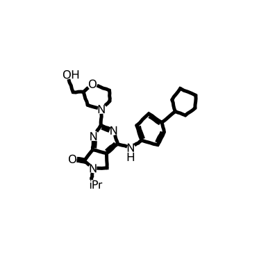 CC(C)N1Cc2c(Nc3ccc(C4CCCCC4)cc3)nc(N3CCOC(CO)C3)nc2C1=O